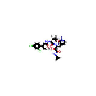 CCC(CC(=O)N[C@@H](CC(C)(C)C)C(=O)NC(CC1CCNC1=O)C(=O)C(=O)NC1CC1)c1ccc(Cl)cc1Cl